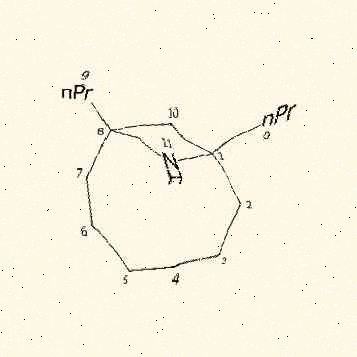 CCCC12CCCCCCC(CCC)(C1)N2